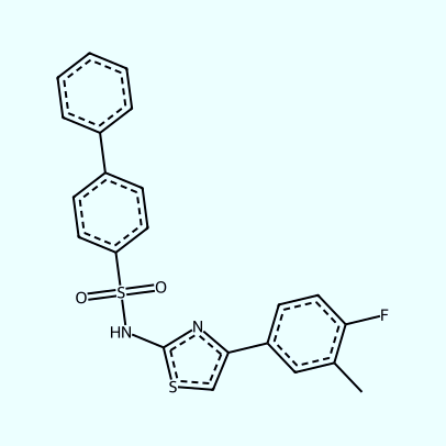 Cc1cc(-c2csc(NS(=O)(=O)c3ccc(-c4ccccc4)cc3)n2)ccc1F